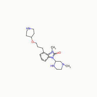 CN1CCNC(n2c(=O)n(C)c3c(CCCOC4CCNCC4)cccc32)C1